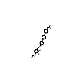 CCOc1ccc(CCc2ccc(-c3ccc(-c4ccc(/C=C(/C)F)cc4)cc3)cc2)c(F)c1F